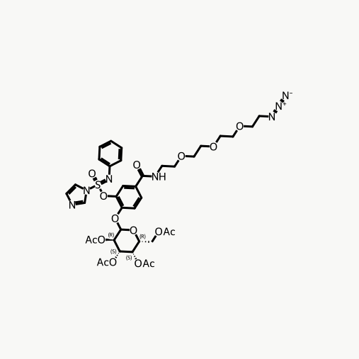 CC(=O)OC[C@H]1OC(Oc2ccc(C(=O)NCCOCCOCCOCCN=[N+]=[N-])cc2OS(=O)(=Nc2ccccc2)n2ccnc2)[C@H](OC(C)=O)[C@@H](OC(C)=O)[C@H]1OC(C)=O